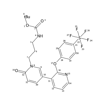 CC(C)(C)OC(=O)NCCCn1cc(-c2cccnc2Oc2ccc(S(F)(F)(F)(F)F)cc2)ccc1=O